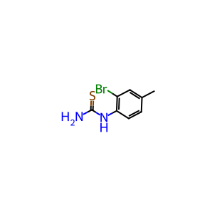 Cc1ccc(NC(N)=S)c(Br)c1